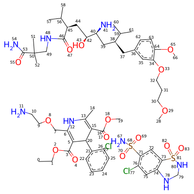 CCOC(=O)C1=C(COCCN)NC(C)=C(C(=O)OC)C1c1ccccc1Cl.COCCCOc1cc(C[C@@H](C[C@H](N)[C@@H](O)C[C@@H](C(=O)NCC(C)(C)C(N)=O)C(C)C)C(C)C)ccc1OC.NS(=O)(=O)c1cc2c(cc1Cl)NCNS2(=O)=O